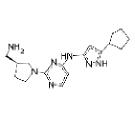 NC[C@@H]1CCN(c2nccc(Nc3cc(C4CCCC4)[nH]n3)n2)C1